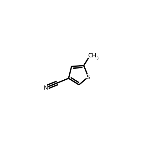 Cc1cc(C#N)cs1